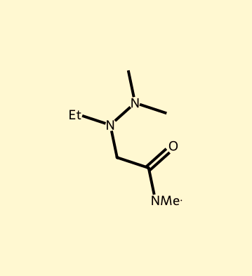 CCN(CC(=O)[N]C)N(C)C